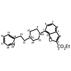 CCOC(=O)c1cc2cccc(N3CCN(CCc4ccccn4)CC3)c2o1